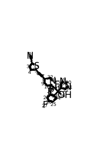 N#Cc1ccc(C#Cc2ccc(C(F)(F)C(O)(c3cncnc3)c3ccc(F)cc3F)nc2)s1